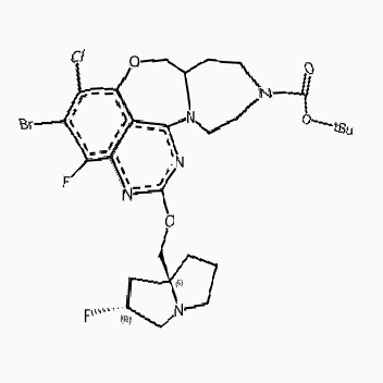 CC(C)(C)OC(=O)N1CCC2COc3c(Cl)c(Br)c(F)c4nc(OC[C@@]56CCCN5C[C@H](F)C6)nc(c34)N2CC1